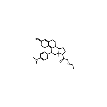 CCOCC(=O)C1CCC2C3CCC4=CC(=N)CCC4=C3C(c3ccc(N(C)C)cc3)CC12C